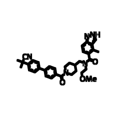 COCCN(CC1CCN(C(=O)c2ccc(-c3ccc(C(C)(C)C#N)cc3)cc2)CC1)C(=O)c1ccc2n[nH]cc2c1C